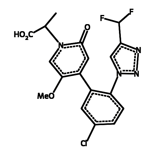 COc1cn(C(C)C(=O)O)c(=O)cc1-c1cc(Cl)ccc1-n1cc(C(F)F)nn1